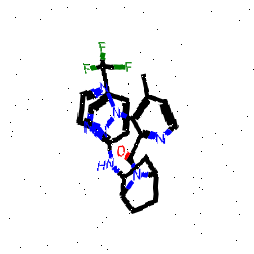 Cc1ccnc(C(=O)N2C3CCC2C(Nc2ccc(C(F)(F)F)cn2)C3)c1-n1nccn1